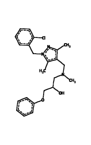 Cc1nn(Cc2ccccc2Cl)c(C)c1CN(C)CC(O)COc1ccccc1